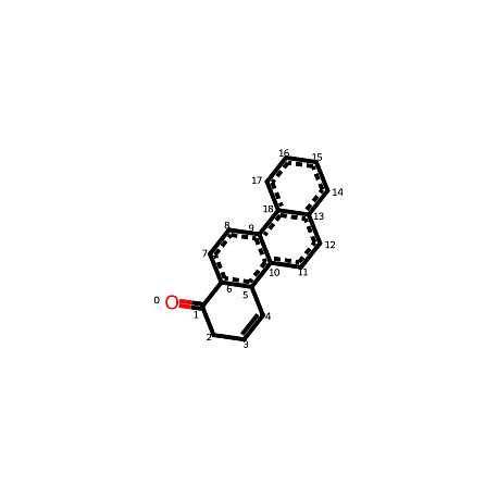 O=C1CC=Cc2c1ccc1c2ccc2ccccc21